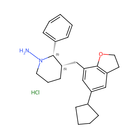 Cl.NN1CCC[C@@H](Cc2cc(C3CCCC3)cc3c2OCC3)[C@H]1c1ccccc1